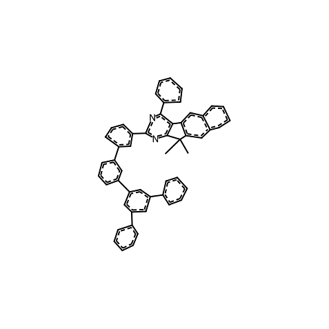 CC1(C)c2cc3ccccc3cc2-c2c(-c3ccccc3)nc(-c3cccc(-c4cccc(-c5cc(-c6ccccc6)cc(-c6ccccc6)c5)c4)c3)nc21